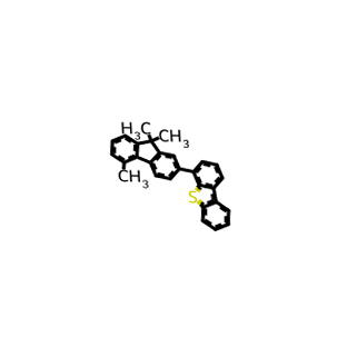 Cc1cccc2c1-c1ccc(-c3cccc4c3sc3ccccc34)cc1C2(C)C